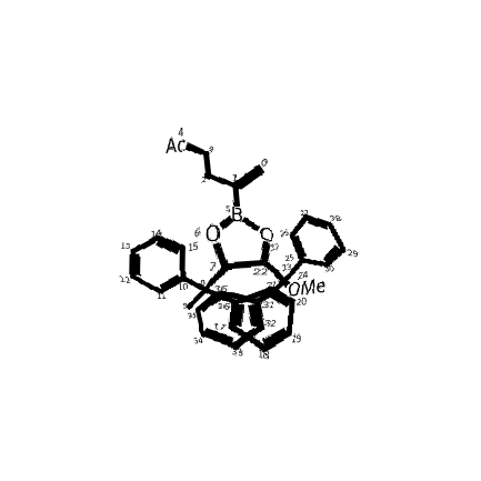 C=C(CCC(C)=O)B1OC(C(C)(c2ccccc2)c2ccccc2)C(C(OC)(c2ccccc2)c2ccccc2)O1